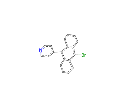 Brc1c2ccccc2c(-c2ccncc2)c2ccccc12